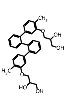 Cc1ccc(-c2ccccc2-c2ccccc2-c2ccc(C)c(OCC(O)CO)c2)cc1OCC(O)CO